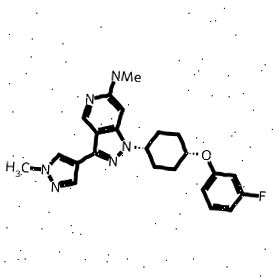 CNc1cc2c(cn1)c(-c1cnn(C)c1)nn2[C@H]1CC[C@@H](Oc2cccc(F)c2)CC1